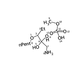 CCCCCOC(CC)C(O)(O)CN.COS(=O)(=O)O